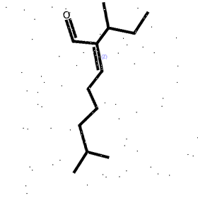 CCC(C)/C(C=O)=C/CCCC(C)C